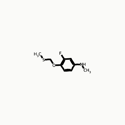 CNc1ccc(OCSC)c(F)c1